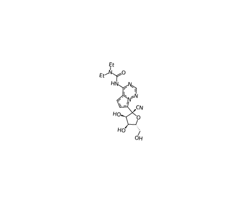 CCN(CC)C(=O)Nc1ncnn2c([C@]3(C#N)O[C@H](CO)[C@@H](O)[C@H]3O)ccc12